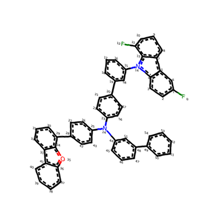 Fc1ccc2c(c1)c1cccc(F)c1n2-c1cccc(-c2ccc(N(c3ccc(-c4cccc5c4oc4ccccc45)cc3)c3cccc(-c4ccccc4)c3)cc2)c1